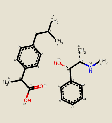 CC(C)Cc1ccc(C(C)C(=O)O)cc1.CN[C@@H](C)[C@@H](O)c1ccccc1